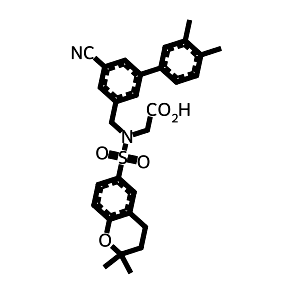 Cc1ccc(-c2cc(C#N)cc(CN(CC(=O)O)S(=O)(=O)c3ccc4c(c3)CCC(C)(C)O4)c2)cc1C